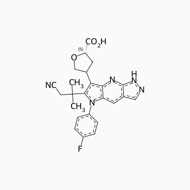 CC(C)(CC#N)c1c(C2CO[C@H](C(=O)O)C2)c2nc3[nH]ncc3cc2n1-c1ccc(F)cc1